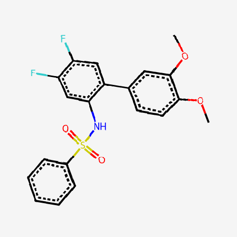 COc1ccc(-c2cc(F)c(F)cc2NS(=O)(=O)c2ccccc2)cc1OC